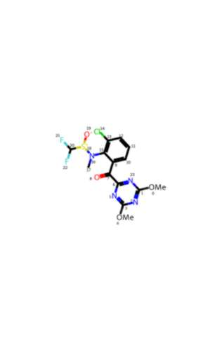 COc1nc(OC)nc(C(=O)c2cccc(Cl)c2N(C)[S+]([O-])C(F)F)n1